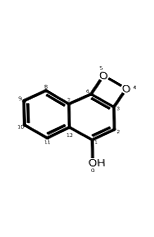 Oc1cc2ooc2c2ccccc12